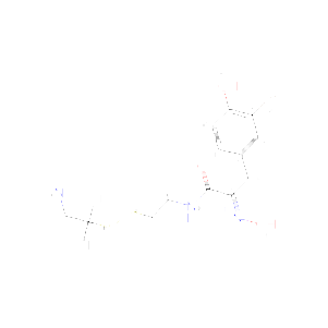 CC(C)(CN)SSCCNC(=O)/C(Cc1ccc(O)c(Br)c1)=N/O